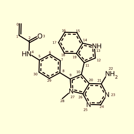 C=CC(=O)Nc1ccc(-c2c(-c3c[nH]c4ccccc34)c3c(N)ncnc3n2C)cc1